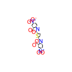 O=c1oc(-c2ccc(-c3nc4ccc([N+](=O)[O-])cc4c(=O)o3)s2)nc2ccc([N+](=O)[O-])cc12